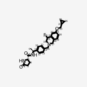 C[C@H](NC(=O)[C@@H]1CCC(=O)N1)c1ccc(CN2Cc3ccc(OCC4CC4)cc3C(F)C2)cc1